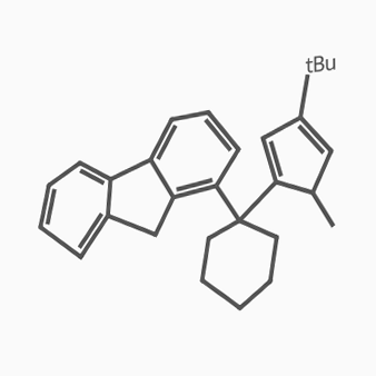 CC1C=C(C(C)(C)C)C=C1C1(c2cccc3c2Cc2ccccc2-3)CCCCC1